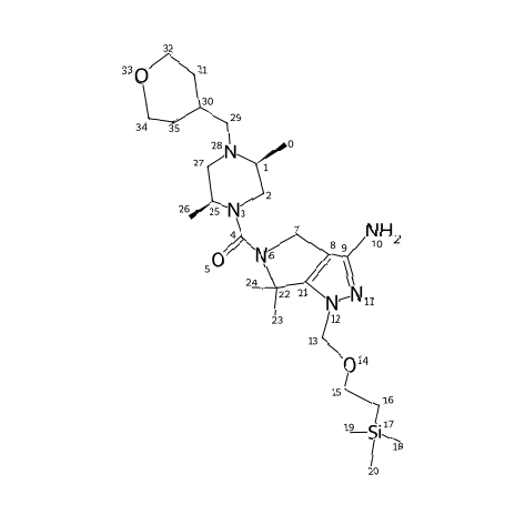 C[C@H]1CN(C(=O)N2Cc3c(N)nn(COCC[Si](C)(C)C)c3C2(C)C)[C@@H](C)CN1CC1CCOCC1